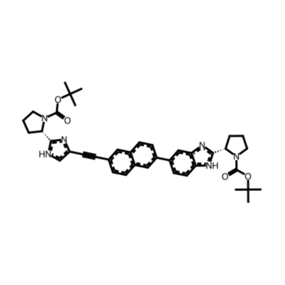 CC(C)(C)OC(=O)N1CCC[C@H]1c1nc(C#Cc2ccc3cc(-c4ccc5[nH]c([C@@H]6CCCN6C(=O)OC(C)(C)C)nc5c4)ccc3c2)c[nH]1